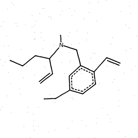 C=Cc1ccc(CC)cc1CN(C)C(C=C)CCC